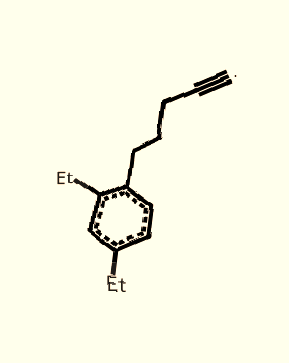 [C]#CCCCc1ccc(CC)cc1CC